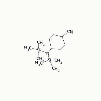 C[Si](C)(C)N(C1CCC(C#N)CC1)[Si](C)(C)C